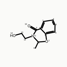 CC1Oc2ccccc2C(=O)N1CCO